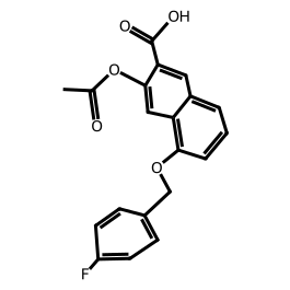 CC(=O)Oc1cc2c(OCc3ccc(F)cc3)cccc2cc1C(=O)O